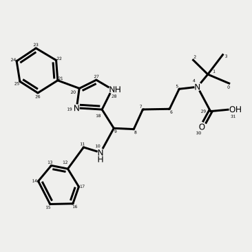 CC(C)(C)N(CCCCC(NCc1ccccc1)c1nc(-c2ccccc2)c[nH]1)C(=O)O